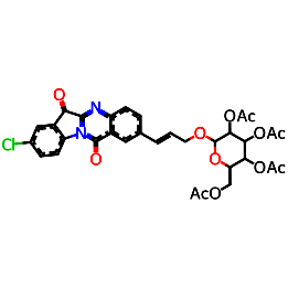 CC(=O)OCC1OC(OC/C=C/c2ccc3nc4n(c(=O)c3c2)-c2ccc(Cl)cc2C4=O)C(OC(C)=O)C(OC(C)=O)C1OC(C)=O